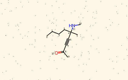 CCCCC(C)(C#CC(C)=O)NC